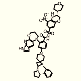 Cc1ccccc1[C@@H]1CCCN1C1CC2(CCN(c3ccc(C(=O)NS(=O)(=O)c4cc5c(c([N+](=O)[O-])c4)N[C@H](C4CCOCC4)CO5)c(N4CCCOc5nc6[nH]ccc6cc54)c3)CC2)C1